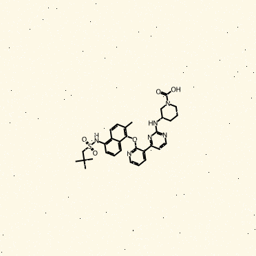 Cc1ccc2c(NS(=O)(=O)CC(C)(C)C)cccc2c1Oc1ncccc1-c1ccnc(NC2CCCN(C(=O)O)C2)n1